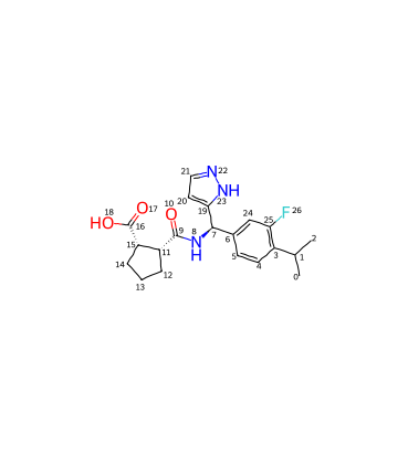 CC(C)c1ccc([C@@H](NC(=O)[C@@H]2CCC[C@@H]2C(=O)O)c2ccn[nH]2)cc1F